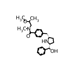 COC(C)CN(C)C(=O)c1ccc(C[C@@H]2CC[C@H](C(O)c3ccccc3)N2)cc1